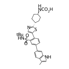 Cc1c[nH]c2cc(-c3ccc(-c4cnc([C@H]5CC[C@H](NC(=O)O)CC5)s4)c(S(=O)(=O)NC(C)(C)C)c3)ccc12